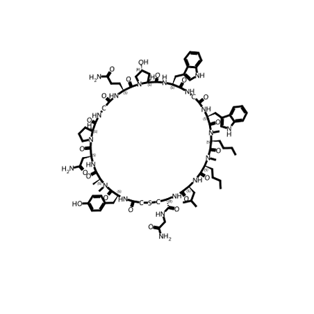 CCCC[C@H]1C(=O)N(C)[C@@H](CCCC)C(=O)N[C@@H](CC(C)C)C(=O)N[C@H](C(=O)NCC(N)=O)CSCC(=O)N[C@@H](Cc2ccc(O)cc2)C(=O)N(C)[C@@H](C)C(=O)N[C@@H](CC(N)=O)C(=O)N2CCC[C@H]2C(=O)NCC(=O)N[C@@H](CCC(N)=O)C(=O)N2C[C@H](O)C[C@H]2C(=O)N[C@@H](Cc2c[nH]c3ccccc23)C(=O)NCC(=O)N[C@@H](Cc2c[nH]c3ccccc23)C(=O)N1C